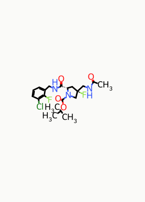 CC(=O)NC[C@@]1(F)C[C@@H](C(=O)NCc2cccc(Cl)c2F)N(C(=O)OC(C)(C)C)C1